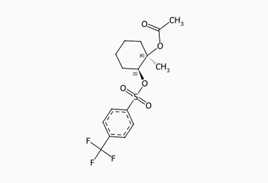 CC(=O)O[C@]1(C)CCCC[C@@H]1OS(=O)(=O)c1ccc(C(F)(F)F)cc1